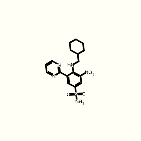 NS(=O)(=O)c1cc(-c2ncccn2)c(NCC2CCCCC2)c([N+](=O)[O-])c1